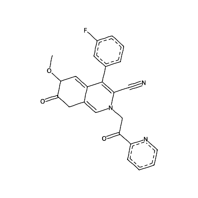 COC1C=C2C(=CN(CC(=O)c3ccccn3)C(C#N)=C2c2cccc(F)c2)CC1=O